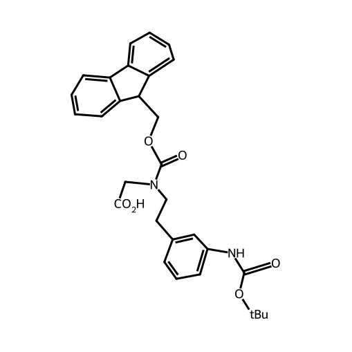 CC(C)(C)OC(=O)Nc1cccc(CCN(CC(=O)O)C(=O)OCC2c3ccccc3-c3ccccc32)c1